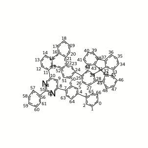 c1ccc(-c2ccc(-c3cc(-c4cccc5c6ccccc6c6cc(-c7ccc8c(c7)C7(c9ccccc9-c9ccccc97)c7ccccc7-8)ccc6c45)nc(-c4ccccc4)n3)cc2)cc1